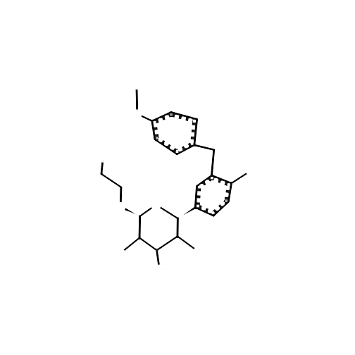 CCOc1ccc(Cc2cc([C@@H]3O[C@H](OCCO)C(O)C(O)C3O)ccc2Cl)cc1